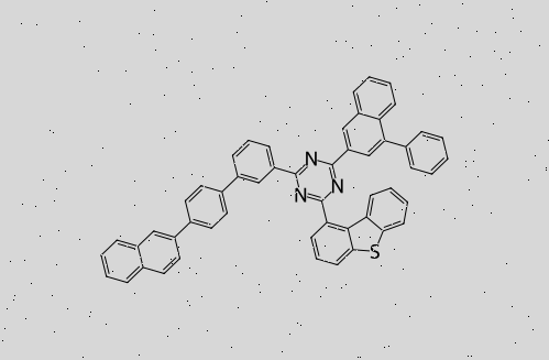 c1ccc(-c2cc(-c3nc(-c4cccc(-c5ccc(-c6ccc7ccccc7c6)cc5)c4)nc(-c4cccc5sc6ccccc6c45)n3)cc3ccccc23)cc1